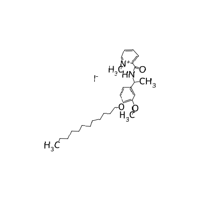 CCCCCCCCCCCCOc1ccc(C(C)NC(=O)c2cccc[n+]2C)cc1OC.[I-]